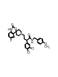 COc1ccc(CNC(=O)C(CCN2CCC3(CC2)OC(=O)Nc2ccc(F)cc23)c2ccc(Cl)c(Cl)c2)cc1